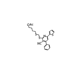 CC(=O)OCCCCSCSc1nc(-c2cccs2)cc(-c2ccccc2)c1C#N